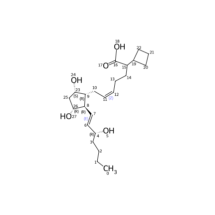 CCCC[C@@H](O)/C=C/[C@@H]1[C@@H](C/C=C\CCC(C(=O)O)C2CCC2)[C@@H](O)C[C@H]1O